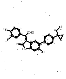 O=C/C(=C1/C(=O)Nc2cc(Cl)c(-c3ccc(C4(CO)CC4)cc3)cc21)c1ccc(F)c(F)c1